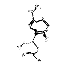 CC[C@@H](CC(=O)O)c1cc(OC)ccc1F